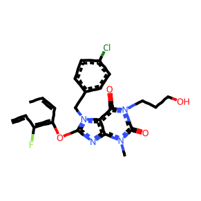 C=C/C(F)=C(\C=C/C)Oc1nc2c(c(=O)n(CCCO)c(=O)n2C)n1Cc1ccc(Cl)cc1